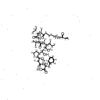 C=CC(=O)NCCCCCC(=O)N(C)[C@H](C(=O)N[C@H](C(=O)N(C)[C@@H]([C@@H](C)CC)[C@@H](CC(O)N1CCC[C@H]1[C@H](OC)[C@@H](C)C(=O)N[C@@H](Cc1ccccc1)C(=O)O)OC)C(C)C)C(C)C